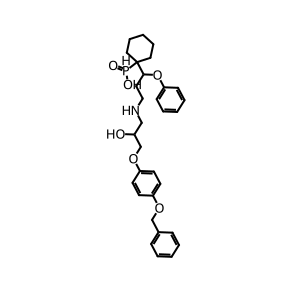 O=[PH](O)C1(C(CCNCC(O)COc2ccc(OCc3ccccc3)cc2)Oc2ccccc2)CCCCC1